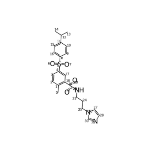 Cc1ccc(S(=O)(=O)c2ccc(C(C)C)cc2)cc1S(=O)(=O)NCCCn1ccnc1